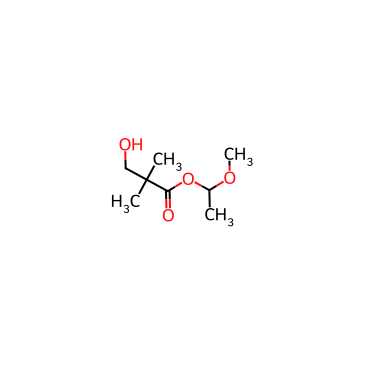 COC(C)OC(=O)C(C)(C)CO